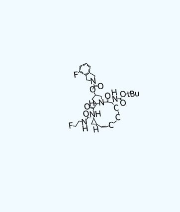 CC(C)(C)OC(=O)N[C@H]1CCCCC/C=C\[C@@H]2C[C@@]2(C(=O)NCCF)NC(=O)[C@@H]2C[C@@H](OC(=O)N3Cc4cccc(F)c4C3)CN2C1=O